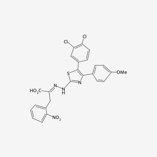 COc1ccc(-c2nc(NN=C(Cc3ccccc3[N+](=O)[O-])C(=O)O)sc2-c2ccc(Cl)c(Cl)c2)cc1